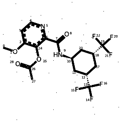 COc1ccnc(C(=O)N[C@@H]2C[C@@H](C(F)(F)F)C[C@@H](C(F)(F)F)C2)c1OC(C)=O